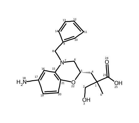 CC(CO)(C[C@H]1CN(Cc2ccccc2)c2cc(N)ccc2O1)C(=O)O